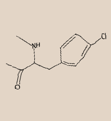 CNC(Cc1ccc(Cl)cc1)C(C)=O